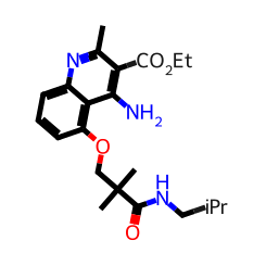 CCOC(=O)c1c(C)nc2cccc(OCC(C)(C)C(=O)NCC(C)C)c2c1N